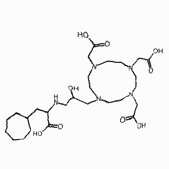 O=C(O)CN1CCN(CC(=O)O)CCN(CC(O)CNC(CC2CCCCCC2)C(=O)O)CCN(CC(=O)O)CC1